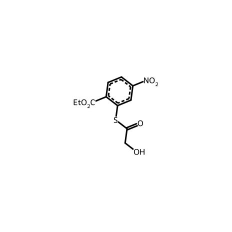 CCOC(=O)c1ccc([N+](=O)[O-])cc1SC(=O)CO